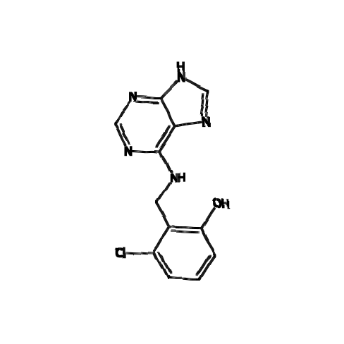 Oc1cccc(Cl)c1CNc1ncnc2[nH]cnc12